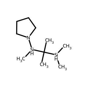 C[SiH](C)C(C)(C)[SiH](C)N1CCCC1